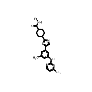 CCNC(=O)C1CCC(c2ncc(-c3cc(C)cc(Nc4nccc(C(F)(F)F)n4)c3)s2)CC1